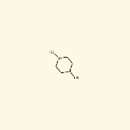 CCCCN1CCN(S)CC1